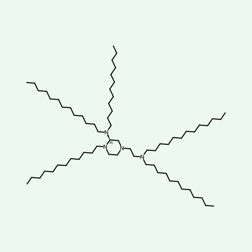 CCCCCCCCCCCCCN(CCCCCCCCCCCC)CCN1CCN(CCCCCCCCCCCC)[C@@H](N(CCCCCCCCCCCC)CCCCCCCCCCCCC)C1